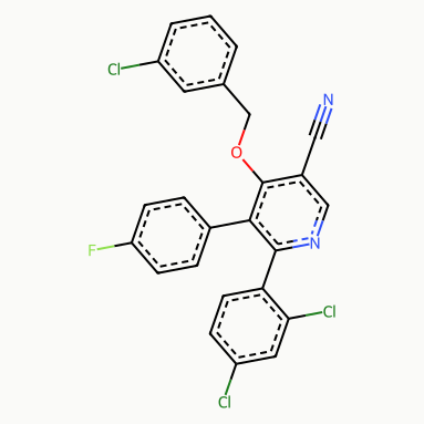 N#Cc1cnc(-c2ccc(Cl)cc2Cl)c(-c2ccc(F)cc2)c1OCc1cccc(Cl)c1